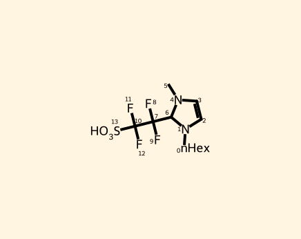 CCCCCCN1C=CN(C)C1C(F)(F)C(F)(F)S(=O)(=O)O